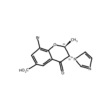 C[C@@H]1Oc2c(Br)cc(C(=O)O)cc2C(=O)[C@H]1n1ccnc1